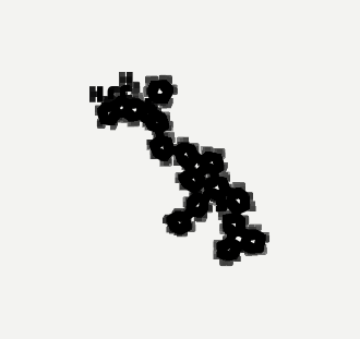 CC1(C)c2ccccc2-c2cc3c4cc(-c5cccc(-c6ccc7c(c6)c6ccccc6c6c(-c8cc(-c9ccc(-c%10ccccc%10)cc9)c9sc%10c(-c%11ccc%12c%13ccccc%13c%13ccccc%13c%12c%11)cccc%10c9c8)cccc76)c5)ccc4n(-c4ccccc4)c3cc21